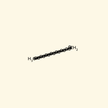 C=CC(=O)OCCOCCOCCOCCOCCOCCOCCOCCOCCOCCOCCOCCOCCOCC